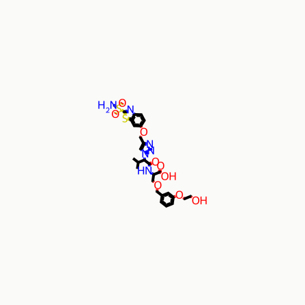 CC(C)C(C(=O)NC(COCc1cccc(OCCO)c1)C(=O)O)n1cc(COc2ccc3nc(S(N)(=O)=O)sc3c2)nn1